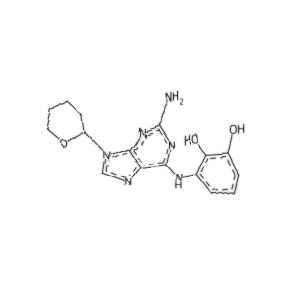 Nc1nc(Nc2cccc(O)c2O)c2ncn(C3CCCCO3)c2n1